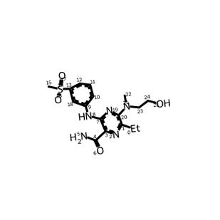 CCc1nc(C(N)=O)c(Nc2cccc(S(C)(=O)=O)c2)nc1N(C)CCO